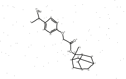 CC(c1ccc(OCC(=O)OC2(C)C3CC4CC(C3)CC2C4)cc1)C(C)(C)C